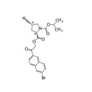 CC(C)OC(=O)N1C[C@H](C#N)C[C@@H]1C(=O)OCC(=O)c1ccc2cc(Br)ccc2c1